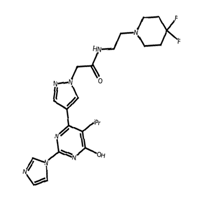 CC(C)c1c(O)nc(-n2ccnc2)nc1-c1cnn(CC(=O)NCCN2CCC(F)(F)CC2)c1